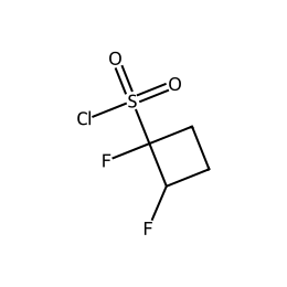 O=S(=O)(Cl)C1(F)CCC1F